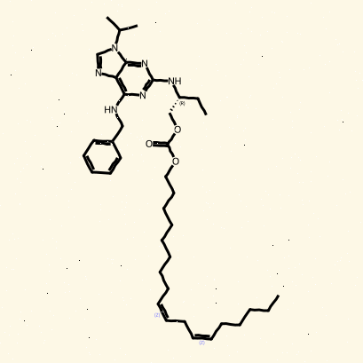 CCCCC/C=C\C/C=C\CCCCCCCCOC(=O)OC[C@@H](CC)Nc1nc(NCc2ccccc2)c2ncn(C(C)C)c2n1